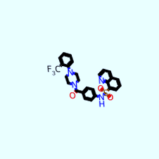 O=C(c1ccc(NS(=O)(=O)c2cccc3cccnc23)cc1)N1CCN(c2ccccc2C(F)(F)F)CC1